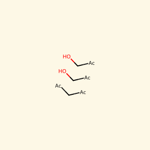 CC(=O)CC(C)=O.CC(=O)CO.CC(=O)CO